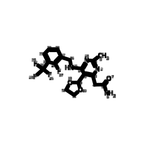 Cc1nc(CC(N)=O)c(C2OCCO2)c(NCc2cccc(C(F)(F)F)c2F)n1